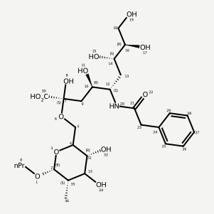 CCCO[C@@H]1OC(CO[C@@](O)(C[C@@H](O)[C@H](C[C@H](O)[C@H](O)CO)NC(=O)Cc2ccccc2)C(=O)O)[C@H](O)C(O)[C@@H]1C